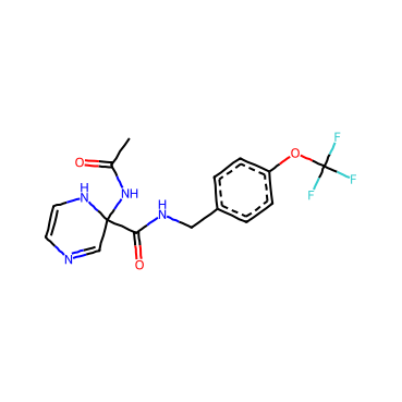 CC(=O)NC1(C(=O)NCc2ccc(OC(F)(F)F)cc2)C=NC=CN1